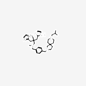 CC(C)CN1CCC2(CC1)CCN(Cc1ccc(CN(C)CC(CO)(Cc3ncc[nH]3)Cc3ncc[nH]3)cc1)C2